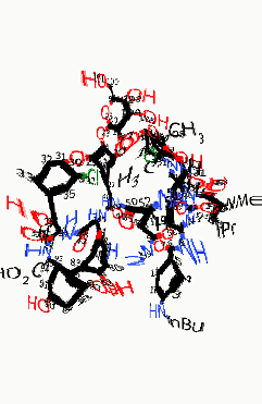 CCCCNc1ccc(C(=O)Nc2ccn(CCNC3(C)C[C@H](O[C@H]4C(Oc5c6cc7cc5Oc5ccc(cc5Cl)[C@@H](O)[C@H]5NC(=O)[C@@H](NC(=O)C7NC(=O)[C@H](CC(N)=O)NC(=O)[C@H](NC(=O)[C@H](CC(C)C)NC)[C@H](O)c7ccc(c(Cl)c7)O6)c6ccc(O)c(c6)-c6c(O)cc(O)cc6[C@H](C(=O)O)NC5=O)O[C@@H](CO)[C@@H](O)[C@H]4O)O[C@H](C)[C@@H]3O)c(=O)n2)cc1